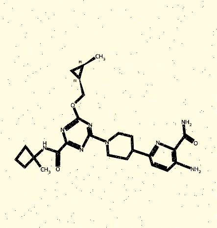 C[C@@H]1C[C@@H]1COc1nc(C(=O)NC2(C)CCC2)nc(N2CCC(c3ccc(N)c(C(N)=O)n3)CC2)n1